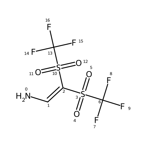 NC=C(S(=O)(=O)C(F)(F)F)S(=O)(=O)C(F)(F)F